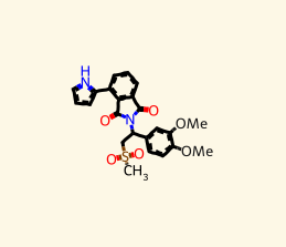 COc1ccc(C(CS(C)(=O)=O)N2C(=O)c3cccc(-c4ccc[nH]4)c3C2=O)cc1OC